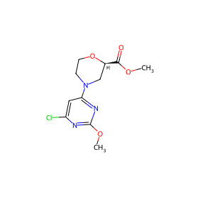 COC(=O)[C@H]1CN(c2cc(Cl)nc(OC)n2)CCO1